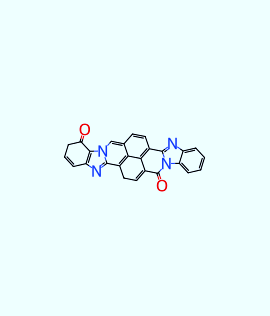 O=C1CC=Cc2nc3c4c5c(ccc6c5c(c(=O)n5c7ccccc7nc65)=CC4)cn3c21